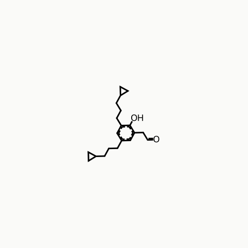 O=CCc1cc(CCCC2CC2)cc(CCCC2CC2)c1O